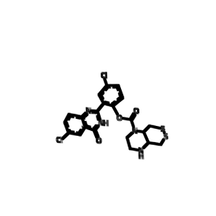 O=C(Oc1ccc(Cl)cc1-c1nc2ccc(Cl)cc2c(=O)[nH]1)N1CCNC2CSSCC21